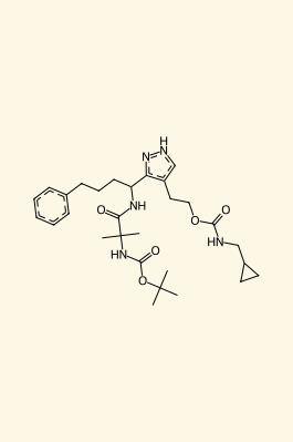 CC(C)(C)OC(=O)NC(C)(C)C(=O)NC(CCCc1ccccc1)c1n[nH]cc1CCOC(=O)NCC1CC1